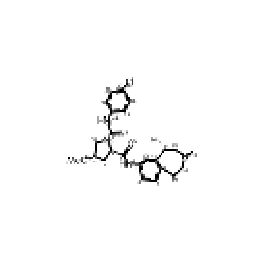 CO[C@@H]1C[C@H](C(=O)Nc2ccc3c(c2)[C@H](C)CN(C)CC3)N(C(=O)Nc2ccc(Cl)cc2)C1